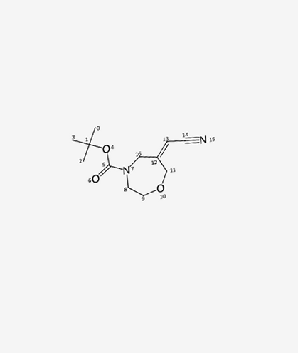 CC(C)(C)OC(=O)N1CCOCC(=CC#N)C1